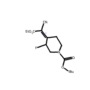 CCOC(=O)/C(C#N)=C1/CCN(C(=O)OC(C)(C)C)CC1F